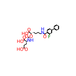 O=C(O)CC[C@H](NC(=O)O[C@@H](CCCCNC(=O)c1ccc(-c2ccccc2)cc1F)C(=O)O)C(=O)O